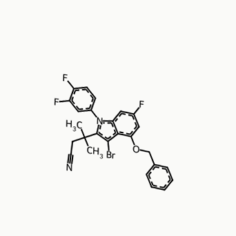 CC(C)(CC#N)c1c(Br)c2c(OCc3ccccc3)cc(F)cc2n1-c1ccc(F)c(F)c1